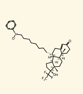 C[C@]12CCC(=O)C=C1C[C@@H](CCCCCCCC[S+]([O-])c1ccccc1)[C@@H]1[C@@H]2CC[C@@]2(C)[C@H]1CC[C@@]2(O)C(F)(F)C(F)(F)F